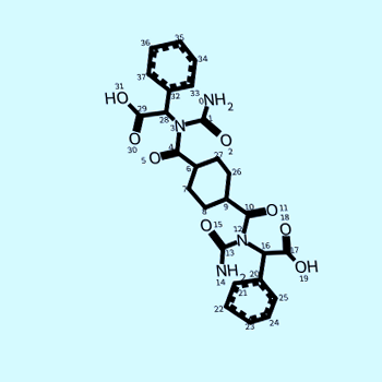 NC(=O)N(C(=O)C1CCC(C(=O)N(C(N)=O)C(C(=O)O)c2ccccc2)CC1)C(C(=O)O)c1ccccc1